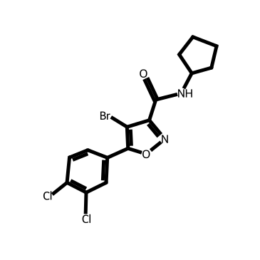 O=C(NC1CCCC1)c1noc(-c2ccc(Cl)c(Cl)c2)c1Br